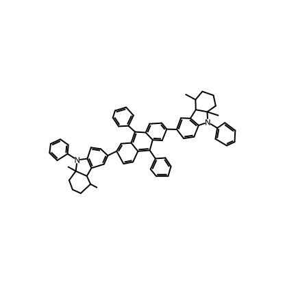 CC1CCCC2(C)C1c1cc(-c3ccc4c(-c5ccccc5)c5cc(-c6ccc7c(c6)C6C(C)CCCC6(C)N7c6ccccc6)ccc5c(-c5ccccc5)c4c3)ccc1N2c1ccccc1